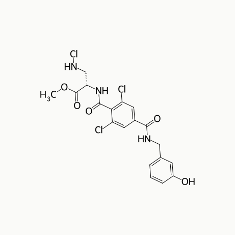 COC(=O)[C@H](CNCl)NC(=O)c1c(Cl)cc(C(=O)NCc2cccc(O)c2)cc1Cl